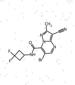 Cc1nn2c(C(=O)NC3CC(F)(F)C3)c(Br)cnc2c1C#N